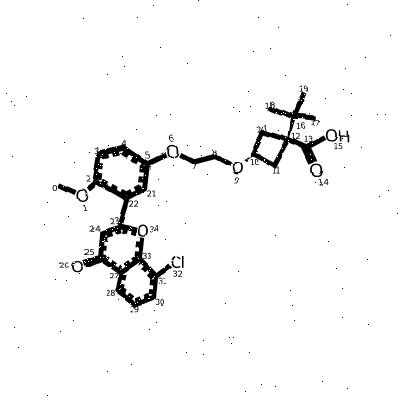 COc1ccc(OCCO[C@H]2C[C@](C(=O)O)(C(C)(C)C)C2)cc1-c1cc(=O)c2cccc(Cl)c2o1